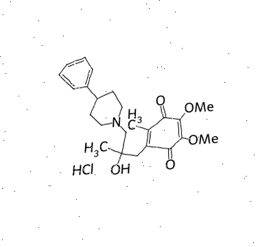 COC1=C(OC)C(=O)C(CC(C)(O)CN2CCC(c3ccccc3)CC2)=C(C)C1=O.Cl